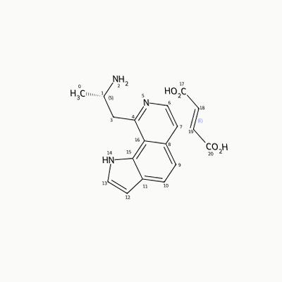 C[C@H](N)Cc1nccc2ccc3cc[nH]c3c12.O=C(O)/C=C/C(=O)O